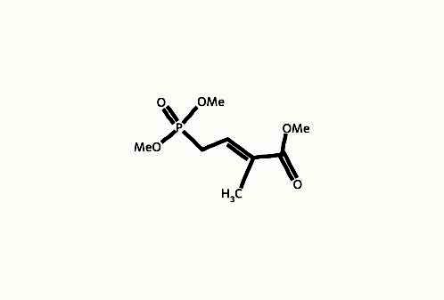 COC(=O)C(C)=CCP(=O)(OC)OC